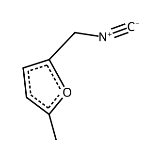 [C-]#[N+]Cc1ccc(C)o1